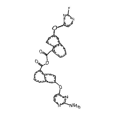 CNc1nccc(Oc2ccc3c(C(=O)OC(=O)c4cccc5cc(Oc6ccnc(F)n6)ccc45)cccc3c2)n1